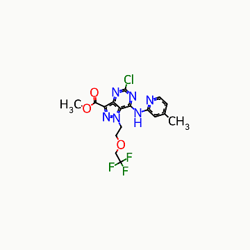 COC(=O)c1nn(CCOCC(F)(F)F)c2c(Nc3cc(C)ccn3)nc(Cl)nc12